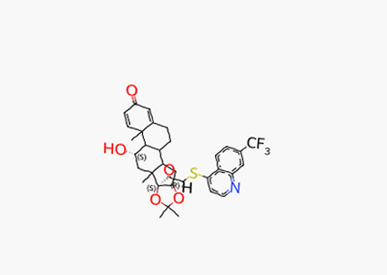 CC1(C)O[C@@H]2CC3C4CCC5=CC(=O)C=CC5(C)C4[C@@H](O)CC3(C)[C@]2(C(=O)CSc2ccnc3cc(C(F)(F)F)ccc23)O1